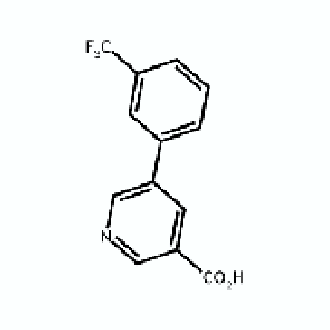 O=C(O)c1cncc(-c2cccc(C(F)(F)F)c2)c1